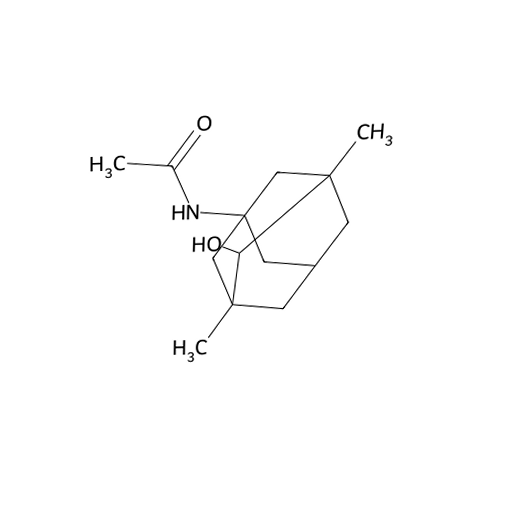 CC(=O)NC12CC3CC(C)(C1)C(O)C(C)(C3)C2